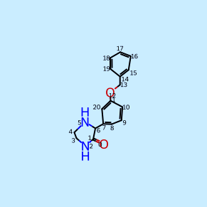 O=C1NCCNC1c1cccc(OCc2ccccc2)c1